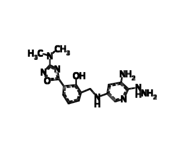 CN(C)c1noc(-c2cccc(CNc3cnc(NN)c(N)c3)c2O)n1